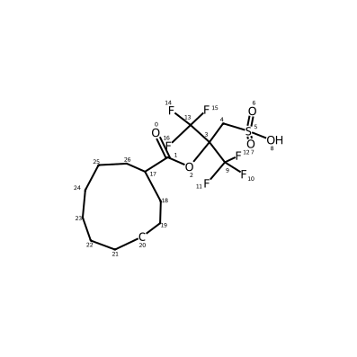 O=C(OC(CS(=O)(=O)O)(C(F)(F)F)C(F)(F)F)C1CCCCCCCCC1